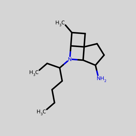 CCCCC(CC)N1C2C(C)CC23CCC(N)C13